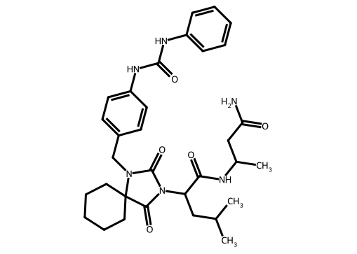 CC(C)CC(C(=O)NC(C)CC(N)=O)N1C(=O)N(Cc2ccc(NC(=O)Nc3ccccc3)cc2)C2(CCCCC2)C1=O